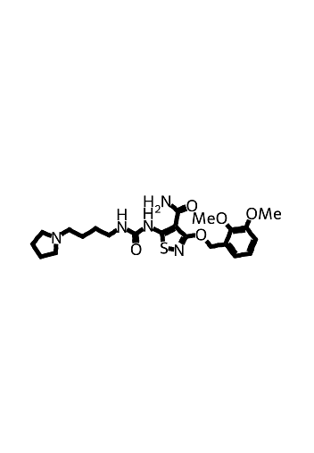 COc1cccc(COc2nsc(NC(=O)NCCCCN3CCCC3)c2C(N)=O)c1OC